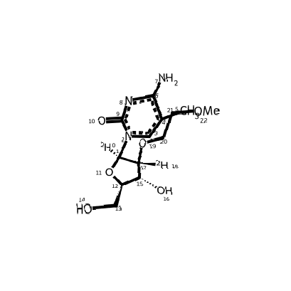 [2H][C@@]1(n2cc(C)c(N)nc2=O)O[C@H](CO)[C@@H](O)[C@@]1([2H])OCCOC